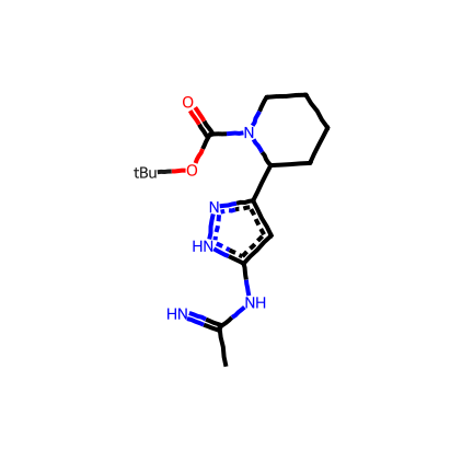 CC(=N)Nc1cc(C2CCCCN2C(=O)OC(C)(C)C)n[nH]1